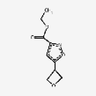 CCOC(=O)c1cc(C2COC2)on1